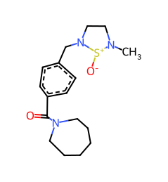 CN1CCN(Cc2ccc(C(=O)N3CCCCCC3)cc2)[S+]1[O-]